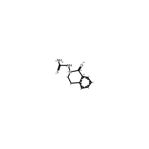 NC(=S)NN1CCc2ccccc2C1=O